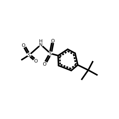 CC(C)(C)c1ccc(S(=O)(=O)NS(C)(=O)=O)cc1